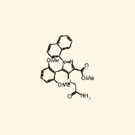 COC(=O)c1nn(-c2cccc3ccccc23)c(-c2c(OC)cccc2OC)c1OCC(N)=O